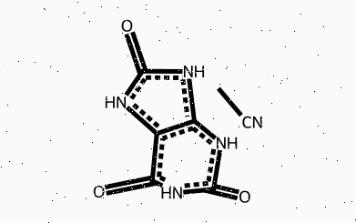 CC#N.O=c1[nH]c(=O)c2[nH]c(=O)[nH]c2[nH]1